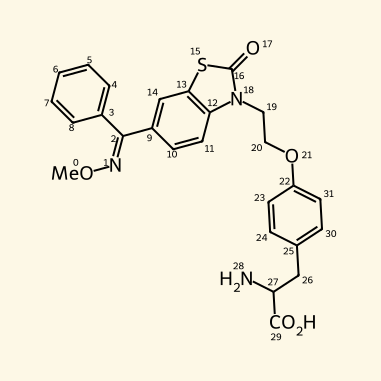 CON=C(c1ccccc1)c1ccc2c(c1)sc(=O)n2CCOc1ccc(CC(N)C(=O)O)cc1